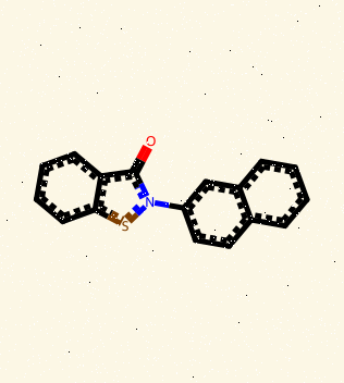 O=c1c2ccccc2sn1-c1ccc2ccccc2c1